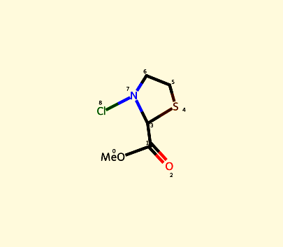 COC(=O)C1SCCN1Cl